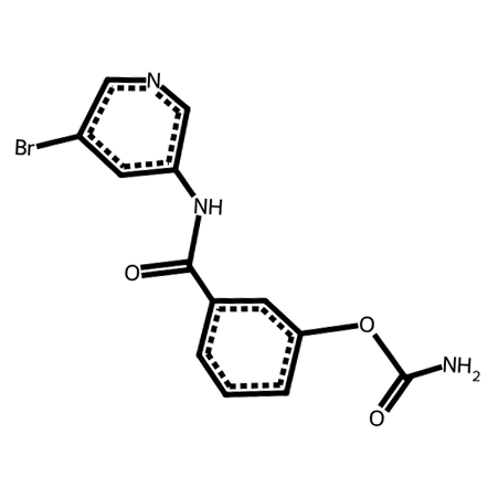 NC(=O)Oc1cccc(C(=O)Nc2cncc(Br)c2)c1